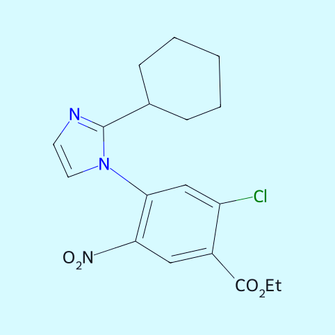 CCOC(=O)c1cc([N+](=O)[O-])c(-n2ccnc2C2CCCCC2)cc1Cl